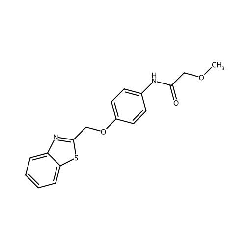 COCC(=O)Nc1ccc(OCc2nc3ccccc3s2)cc1